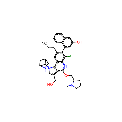 CN1CCCC1COc1nc2c(F)c(-c3cc(O)cc4ccccc34)c(CCC#N)cc2c2c1c(CO)cn2C1C2CNC1C2